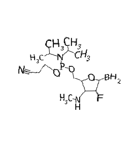 BC1OC(COP(OCCC#N)N(C(C)C)C(C)C)C(NC)C1F